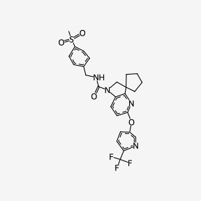 CS(=O)(=O)c1ccc(CNC(=O)N2CC3(CCCC3)c3nc(Oc4ccc(C(F)(F)F)nc4)ccc32)cc1